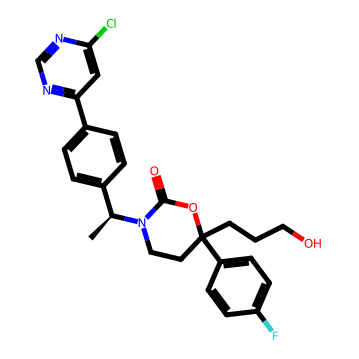 C[C@@H](c1ccc(-c2cc(Cl)ncn2)cc1)N1CCC(CCCO)(c2ccc(F)cc2)OC1=O